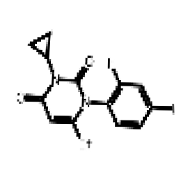 CCc1cc(=O)n(C2CC2)c(=O)n1-c1ccc(I)cc1F